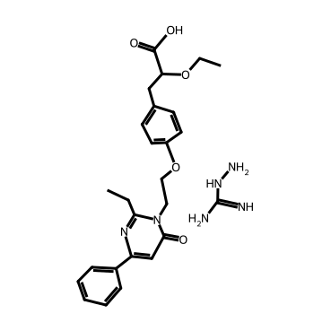 CCOC(Cc1ccc(OCCn2c(CC)nc(-c3ccccc3)cc2=O)cc1)C(=O)O.N=C(N)NN